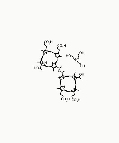 CC1=C(CCC(=O)O)c2cc3[nH]c(cc4nc(cc5[nH]c(cc1n2)c(C)c5C(C)OC(C)C1=C(C)c2cc5[nH]c(cc6nc(cc7[nH]c(cc1n2)c(C)c7CCC(=O)O)C(CCC(=O)O)=C6C)c(C)c5C(C)O)C(C)=C4C(C)O)c(C)c3CCC(=O)O.OCCN(CCO)CCO